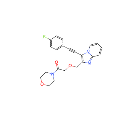 O=C(COCc1nc2ccccn2c1C#Cc1ccc(F)cc1)N1CCOCC1